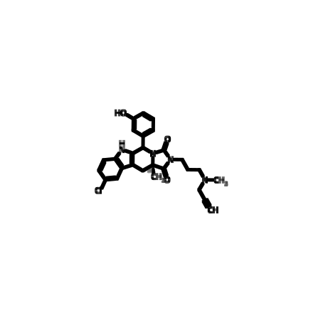 C#CCN(C)CCCN1C(=O)N2C(c3cccc(O)c3)c3[nH]c4ccc(Cl)cc4c3C[C@@]2(C)C1=O